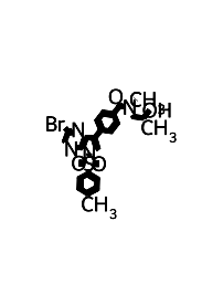 Cc1ccc(S(=O)(=O)n2cc(-c3ccc(C(=O)N(C)CC(C)O)cc3)c3nc(Br)cnc32)cc1